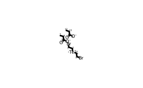 BrCC[Te+2]CCBr.CCC(=O)[O-].CCC(=O)[O-]